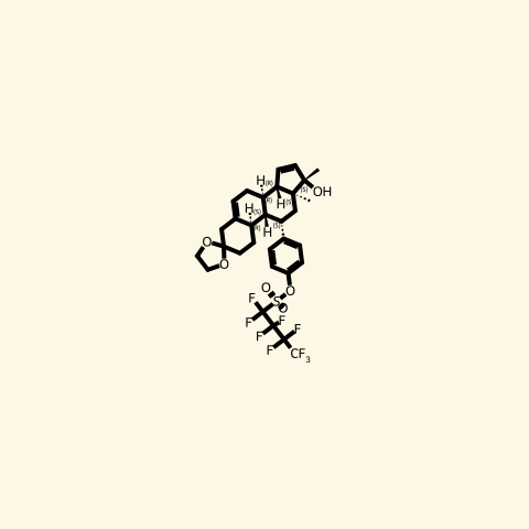 C[C@]1(O)C=C[C@H]2[C@@H]3CC=C4CC5(CC[C@@H]4[C@H]3[C@@H](c3ccc(OS(=O)(=O)C(F)(F)C(F)(F)C(F)(F)C(F)(F)F)cc3)C[C@@]21C)OCCO5